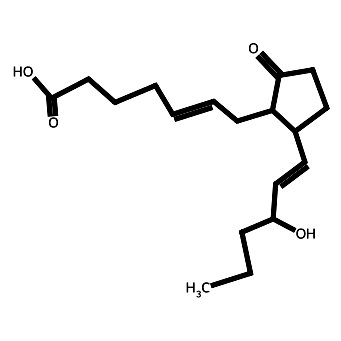 CCCC(O)C=CC1CCC(=O)C1CC=CCCCC(=O)O